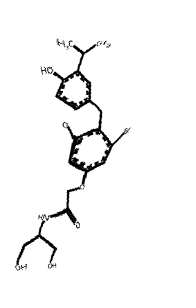 CC(C)c1cc(Cc2c(Cl)cc(OCC(=O)NC(CO)CO)cc2Br)ccc1O